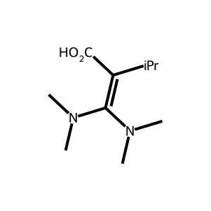 CC(C)C(C(=O)O)=C(N(C)C)N(C)C